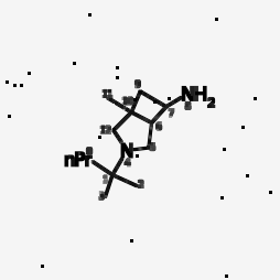 CCCC(C)(C)N1CC2C(N)CC2(C)C1